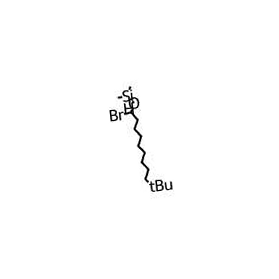 C[SiH](C)OC(Br)CCCCCCCCC(C)(C)C